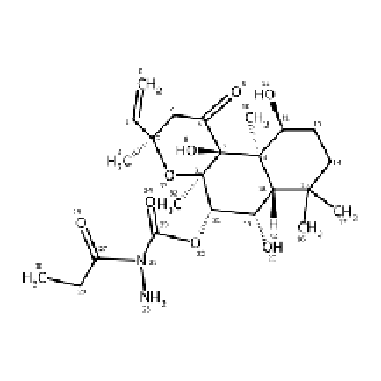 C=C[C@@]1(C)CC(=O)[C@]2(O)[C@@]3(C)[C@@H](O)CCC(C)(C)[C@@H]3[C@H](O)[C@H](OC(=O)N(N)C(=O)CC)[C@@]2(C)O1